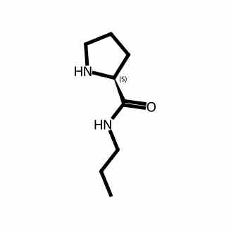 CCCNC(=O)[C@@H]1CCCN1